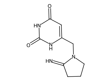 N=C1CCCN1Cc1cc(=O)[nH]c(=O)[nH]1